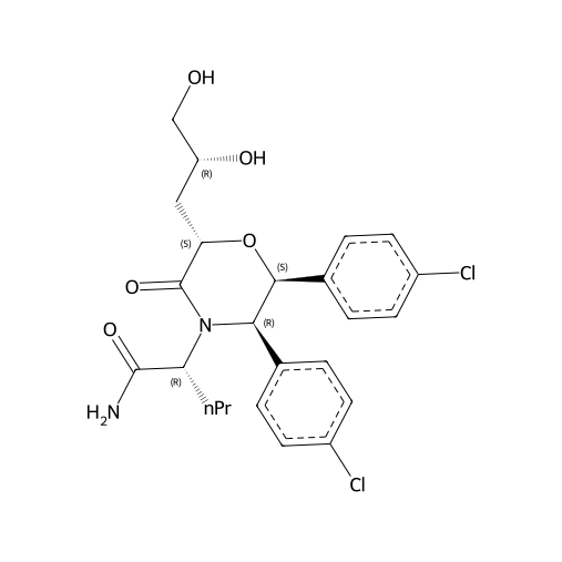 CCC[C@H](C(N)=O)N1C(=O)[C@H](C[C@@H](O)CO)O[C@@H](c2ccc(Cl)cc2)[C@H]1c1ccc(Cl)cc1